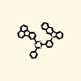 c1ccc(-c2nc(-c3cccc(-n4c5ccccc5c5cc6ccccc6cc54)c3)nc(-c3ccc4c(c3)-c3cccc5cccc-4c35)n2)cc1